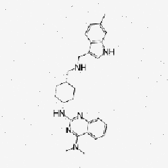 Cc1ccc2c(CNC[C@H]3CC[C@@H](Nc4nc(N(C)C)c5ccccc5n4)CC3)c[nH]c2c1